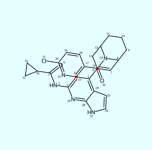 O=C(Nc1cc(C2=CC3CCCC(C2)N3C(=O)c2ccc(Cl)nc2)c2cc[nH]c2n1)C1CC1